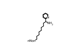 CCCCCCCCCCCCCCCCCC(N)c1ccccn1